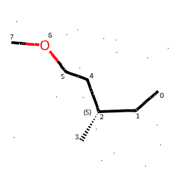 CC[C@H](C)CCOC